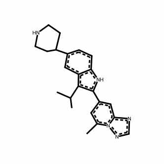 Cc1cc(-c2[nH]c3ccc(C4CCNCC4)cc3c2C(C)C)cc2ncnn12